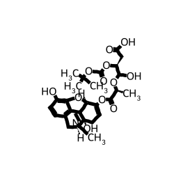 C[C@H](OC(O)[C@H](CC(=O)O)OC(=O)OC(C)(C)C)C(=O)OC1=CC[C@@]2(O)[C@H]3Cc4ccc(O)c5c4[C@@]2(CCN3C)[C@H]1O5